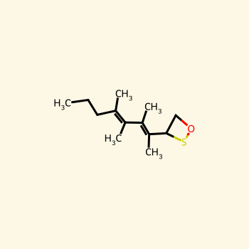 CCC/C(C)=C(C)/C(C)=C(\C)C1COS1